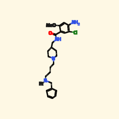 CCN(CCCCN1CCC(CNC(=O)c2cc(Cl)c(N)cc2OC)CC1)Cc1ccccc1